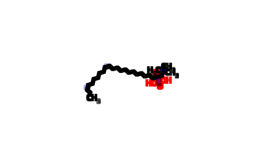 CC/C=C\CCCCC/C=C\CCCCCCCCCCCC(O)(C[N+](C)(C)C)P(=O)(O)O